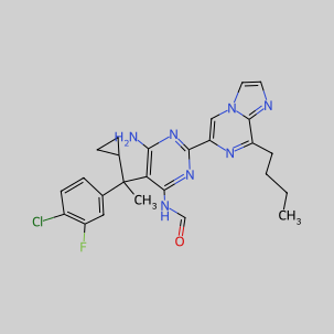 CCCCc1nc(-c2nc(N)c(C(C)(c3ccc(Cl)c(F)c3)C3CC3)c(NC=O)n2)cn2ccnc12